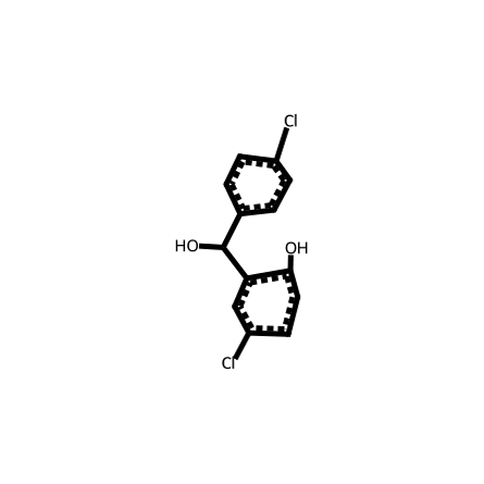 Oc1ccc(Cl)cc1C(O)c1ccc(Cl)cc1